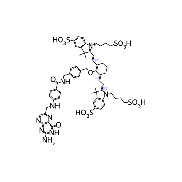 CC1(C)C(/C=C/C2=C(OCc3ccc(CNC(=O)c4ccc(NCc5cnc6nc(N)[nH]c(=O)c6n5)cc4)cc3)C(=C/C=C3/N(CCCCS(=O)(=O)O)c4ccc(S(=O)(=O)O)cc4C3(C)C)/CCC2)=[N+](CCCCS(=O)(=O)O)c2ccc(S(=O)(=O)O)cc21